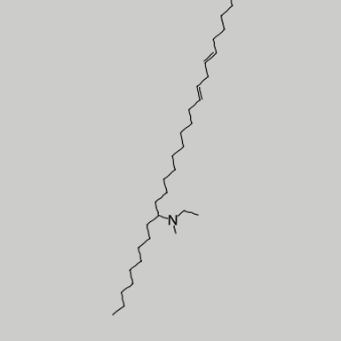 CCCCC/C=C/C/C=C/CCCCCCCCCC(CCCCCCCCC)N(C)CC